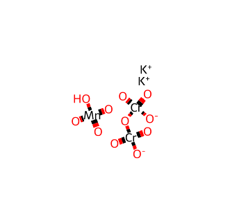 [K+].[K+].[O]=[Cr](=[O])([O-])[O][Cr](=[O])(=[O])[O-].[O]=[Mn](=[O])(=[O])[OH]